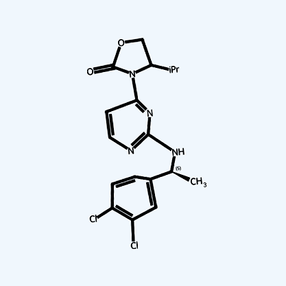 CC(C)C1COC(=O)N1c1ccnc(N[C@@H](C)c2ccc(Cl)c(Cl)c2)n1